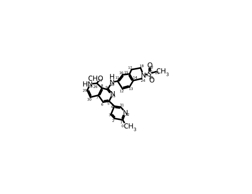 Cc1ccc(-c2cc3c(c(Nc4ccc5c(c4)CCN(S(C)(=O)=O)C5)n2)C(C=O)NC=C3)cn1